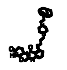 Cc1nc2cccc(SCCCN3CCN(CCC45CC6CC(CC(C6)C4)C5)CC3)c2c(=O)n1C1CCC(=O)NC1=O